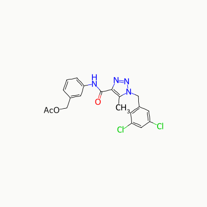 CC(=O)OCc1cccc(NC(=O)c2nnn(Cc3cc(Cl)cc(Cl)c3)c2C)c1